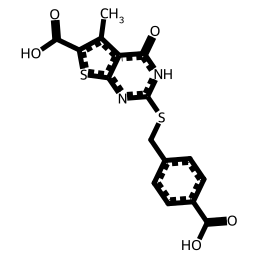 Cc1c(C(=O)O)sc2nc(SCc3ccc(C(=O)O)cc3)[nH]c(=O)c12